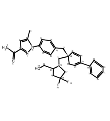 Cc1cc(C(N)=O)nn1-c1ccc(C[C@@]2(CN3CC(F)(F)CC3CO)C=CC(c3ccccc3)=CC2)cc1